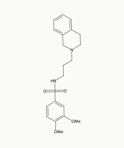 COc1ccc(S(=O)(=O)NCCCN2CCc3ccccc3C2)cc1OC